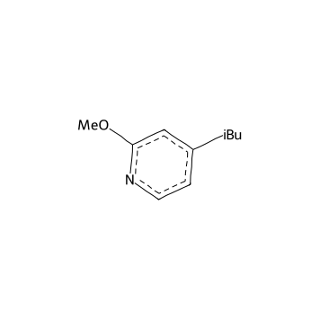 CCC(C)c1ccnc(OC)c1